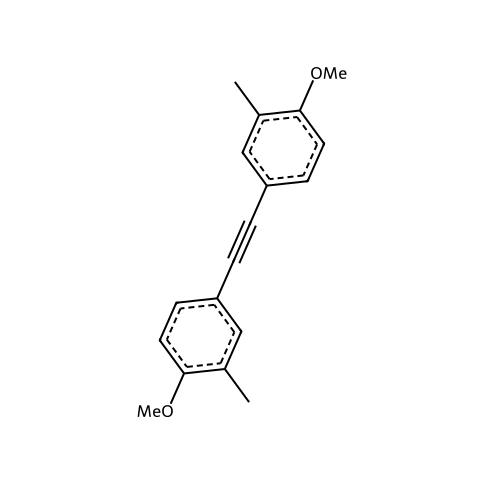 COc1ccc(C#Cc2ccc(OC)c(C)c2)cc1C